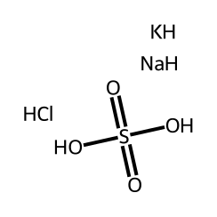 Cl.O=S(=O)(O)O.[KH].[NaH]